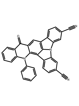 N#Cc1ccc2c3cc4c(=O)c5ccccc5n(-c5ccccc5)c4c4c5ccc(C#N)cc5n(c2c1)c34